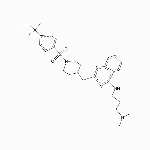 CCC(C)(C)c1ccc(S(=O)(=O)N2CCN(Cc3nc(NCCCN(C)C)c4ccccc4n3)CC2)cc1